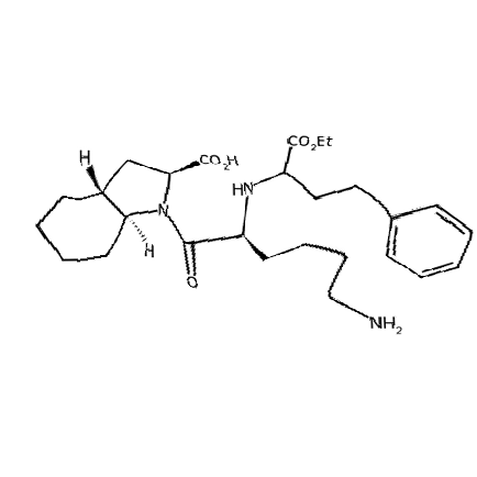 CCOC(=O)C(CCc1ccccc1)N[C@@H](CCCCN)C(=O)N1[C@H](C(=O)O)C[C@H]2CCCC[C@@H]21